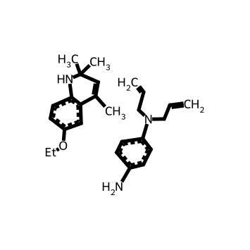 C=CCN(CC=C)c1ccc(N)cc1.CCOc1ccc2c(c1)C(C)=CC(C)(C)N2